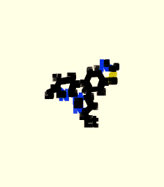 CCc1cc(-c2ccc3ncsc3c2)n(-c2cccc(C)n2)n1